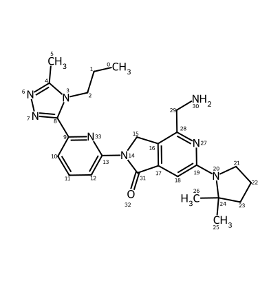 CCCn1c(C)nnc1-c1cccc(N2Cc3c(cc(N4CCCC4(C)C)nc3CN)C2=O)n1